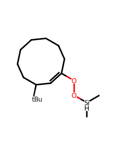 C[SiH](C)OO/C1=C/C(C(C)(C)C)CCCCCCC1